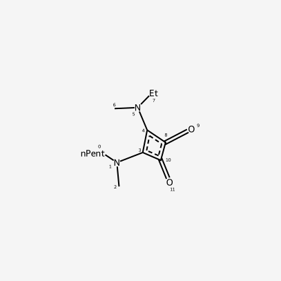 CCCCCN(C)c1c(N(C)CC)c(=O)c1=O